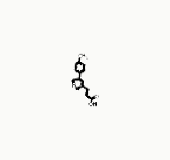 Cc1ccc(-c2cncc(C=CC(=O)O)c2)cc1